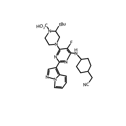 CC(C)(C)C1CN(c2nc(-c3cnn4ccccc34)nc(NC3CCC(CC#N)CC3)c2F)CCN1C(=O)O